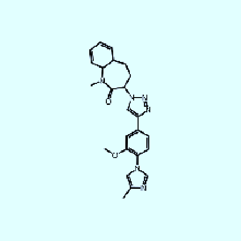 COc1cc(-c2cn(C3CCC4C=CC=CC4N(C)C3=O)nn2)ccc1-n1cnc(C)c1